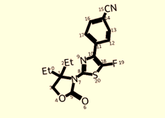 CCC1(CC)COC(=O)N1c1nc(-c2ccc(C#N)cc2)c(F)s1